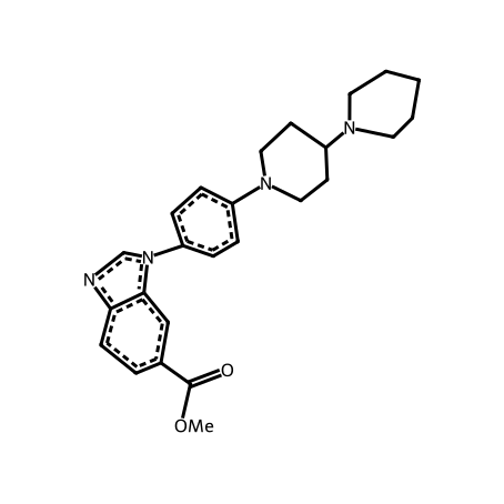 COC(=O)c1ccc2ncn(-c3ccc(N4CCC(N5CCCCC5)CC4)cc3)c2c1